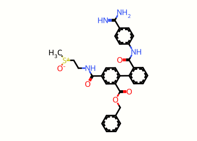 C[S+]([O-])CCNC(=O)c1ccc(-c2ccccc2C(=O)Nc2ccc(C(=N)N)cc2)c(C(=O)OCc2ccccc2)c1